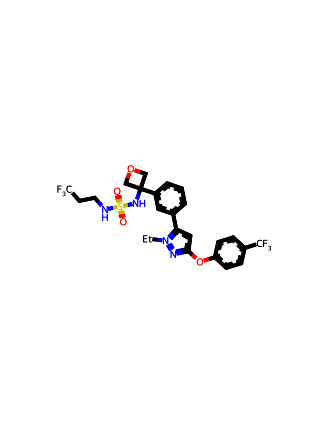 CCn1nc(Oc2ccc(C(F)(F)F)cc2)cc1-c1cccc(C2(NS(=O)(=O)NCCC(F)(F)F)COC2)c1